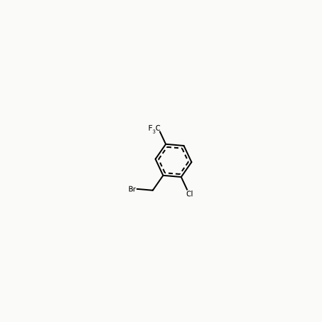 FC(F)(F)c1ccc(Cl)c(CBr)c1